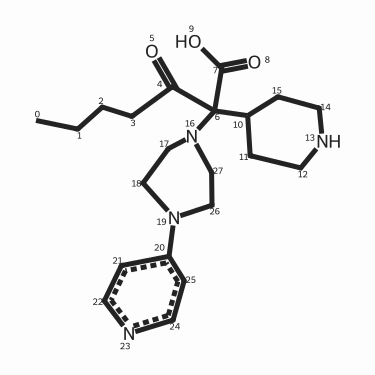 CCCCC(=O)C(C(=O)O)(C1CCNCC1)N1CCN(c2ccncc2)CC1